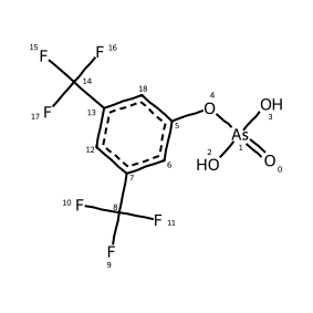 O=[As](O)(O)Oc1cc(C(F)(F)F)cc(C(F)(F)F)c1